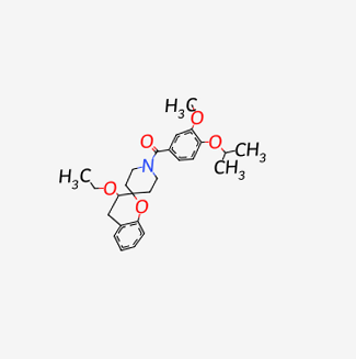 CCOC1Cc2ccccc2OC12CCN(C(=O)c1ccc(OC(C)C)c(OC)c1)CC2